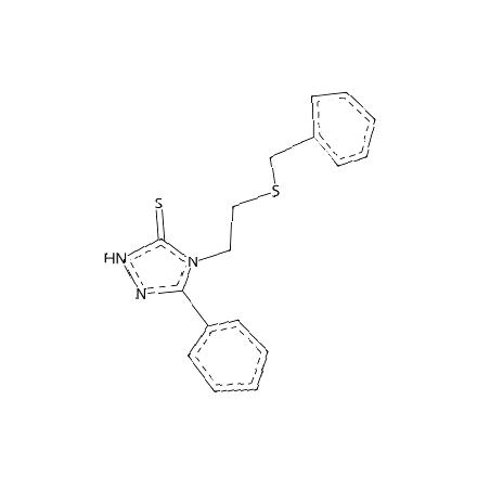 S=c1[nH]nc(-c2ccccc2)n1CCSCc1ccccc1